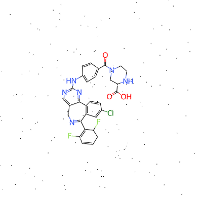 O=C(O)C1CN(C(=O)c2ccc(Nc3ncc4c(n3)-c3ccc(Cl)cc3C(C3=C(F)C=CCC3F)=NC4)cc2)CCN1